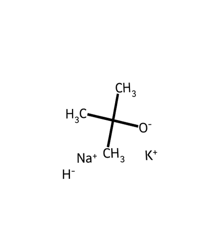 CC(C)(C)[O-].[H-].[K+].[Na+]